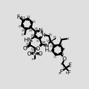 CCc1cc(OCC(F)(F)F)ccc1[C@@]1(C)Cn2nc(-c3ccc(F)cc3C)c(NC(=O)CS(C)(=O)=O)c2C(=O)N1